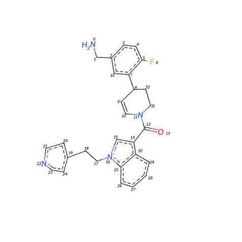 NCc1ccc(F)c(C2C=CN(C(=O)c3cn(CCc4ccncc4)c4ccccc34)CC2)c1